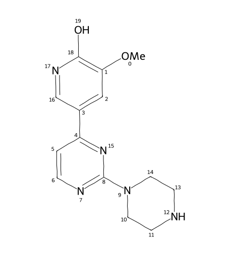 COc1cc(-c2ccnc(N3CCNCC3)n2)cnc1O